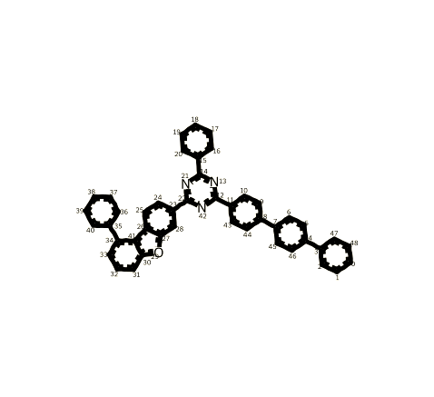 c1ccc(-c2ccc(-c3ccc(-c4nc(-c5ccccc5)nc(-c5ccc6c(c5)oc5cccc(-c7ccccc7)c56)n4)cc3)cc2)cc1